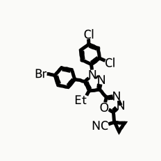 CCc1c(-c2nnc(C3(C#N)CC3)o2)nn(-c2ccc(Cl)cc2Cl)c1-c1ccc(Br)cc1